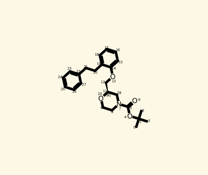 CC(C)(C)OC(=O)N1CCO[C@@H](COc2ccccc2CCc2ccccc2)C1